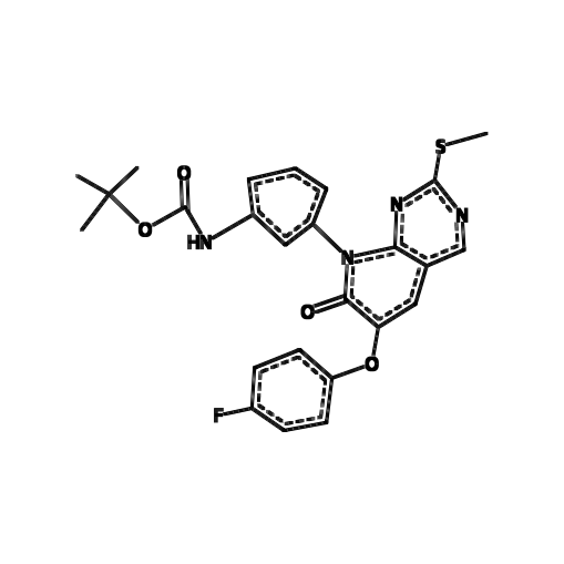 CSc1ncc2cc(Oc3ccc(F)cc3)c(=O)n(-c3cccc(NC(=O)OC(C)(C)C)c3)c2n1